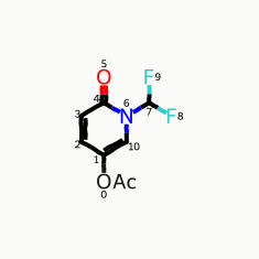 CC(=O)Oc1ccc(=O)n(C(F)F)c1